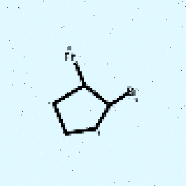 [CH2]CC1CCCC1Br